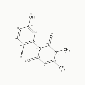 Cn1c(C(F)(F)F)cc(=O)n(-c2cc(O)ccc2F)c1=O